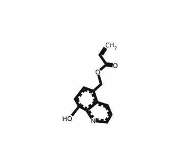 C=CC(=O)OCc1ccc(O)c2ncccc12